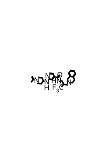 C=C(C)N1CCC(Nc2cc(C(=O)NCC(CN3CCc4ccccc4C3)C(F)(F)F)ccn2)CC1